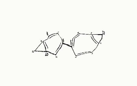 c1cc2c(cc1-c1ccc3c(c1)C3)C2